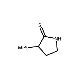 CSC1CCNC1=S